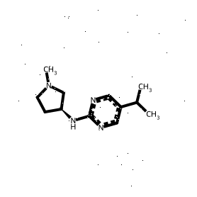 CC(C)c1cnc(N[C@H]2CCN(C)C2)nc1